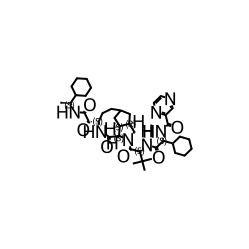 C[C@H](NC(=O)C(=O)[C@@H]1CCC2C[C@H]3CN(C(=O)[C@@H](NC(=O)[C@@H](NC(=O)c4cnccn4)C4CCCCC4)C(C)(C)C)[C@H](C(=O)N1)[C@H]3C2)C1CCCCC1